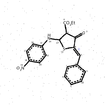 CCOC(=O)C1C(=O)/C(=C/c2ccccc2)SC1Nc1ccc([N+](=O)[O-])cc1